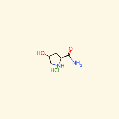 Cl.NC(=O)[C@@H]1CC(O)CN1